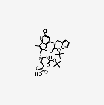 Cc1c(C[C@@H](CCS(=O)(=O)O)NC(=O)OC(C)(C)C)sc2c(N(Cc3ccco3)C(=O)OC(C)(C)C)cc(Cl)nc12